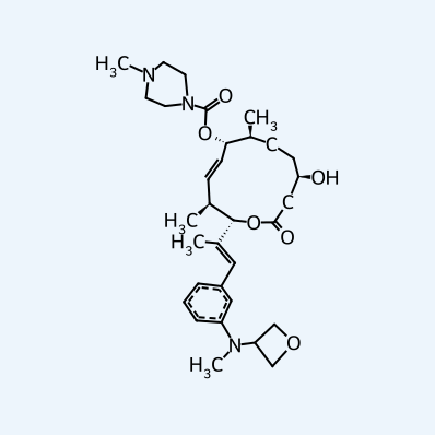 C/C(=C\c1cccc(N(C)C2COC2)c1)[C@H]1OC(=O)C[C@H](O)CC[C@H](C)[C@@H](OC(=O)N2CCN(C)CC2)/C=C/[C@@H]1C